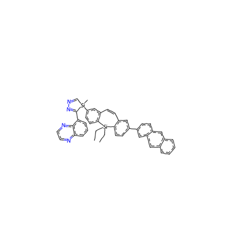 CC[Si]1(CC)c2ccc(-c3ccc4cc5ccccc5cc4c3)cc2C=Cc2cc([Si]3(C)C=NN=C3c3cccc4nccnc34)ccc21